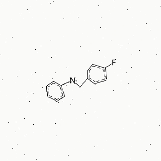 Fc1ccc(C[N]c2ccccc2)cc1